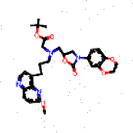 COc1ccc2nccc(CCCN(CC(=O)OC(C)(C)C)CC3CN(c4ccc5c(c4)OCCO5)C(=O)O3)c2n1